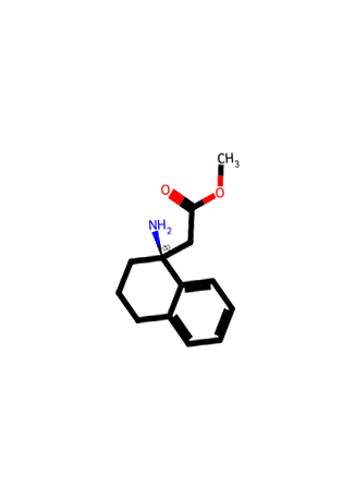 COC(=O)C[C@@]1(N)CCCc2ccccc21